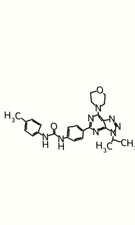 Cc1ccc(NC(=O)Nc2ccc(-c3nc(N4CCOCC4)c4nnn(C(C)C)c4n3)cc2)cc1